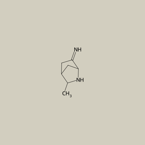 CC1NC2CC1CC2=N